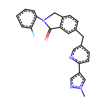 Cn1cc(-c2ccc(Cc3ccc4c(c3)C(=O)N(c3ccccc3F)C4)cn2)cn1